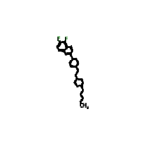 CCCCCC1CCC(CCC2CCC(c3ccc4c(F)c(F)ccc4c3)CC2)CC1